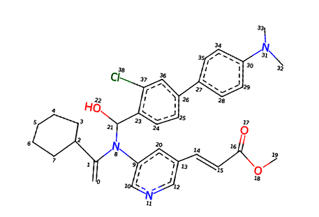 C=C(C1CCCCC1)N(c1cncc(/C=C/C(=O)OC)c1)C(O)c1ccc(-c2ccc(N(C)C)cc2)cc1Cl